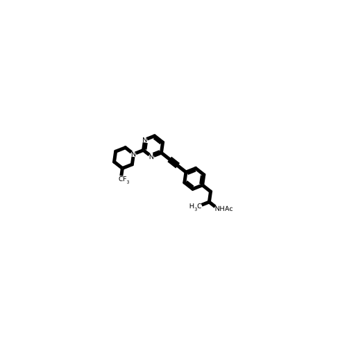 CC(=O)NC(C)Cc1ccc(C#Cc2ccnc(N3CCCC(C(F)(F)F)C3)n2)cc1